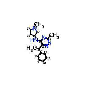 Cc1nnc([C@H](C)c2ccccc2)c(NC2CCN(C)C2)n1